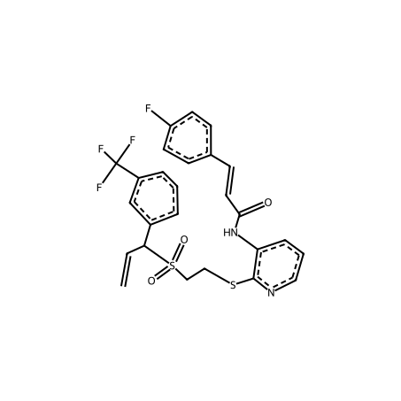 C=CC(c1cccc(C(F)(F)F)c1)S(=O)(=O)CCSc1ncccc1NC(=O)/C=C/c1ccc(F)cc1